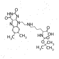 Cc1cc2nc3c(=O)[nH]c(=O)nc-3n(CCNCCCCC(NC(=O)OC(C)(C)C)C(=O)O)c2cc1C